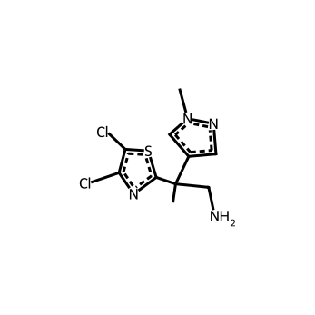 Cn1cc(C(C)(CN)c2nc(Cl)c(Cl)s2)cn1